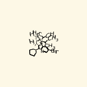 CC(C)[Si](C(C)C)(C(C)C)n1cc(C2CCCCC2)c2ncc(Br)cc21